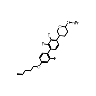 C=CCCCOc1ccc(-c2ccc(C3CCC(OCCC)OC3)c(F)c2F)c(F)c1